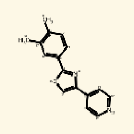 Cc1ccc(-c2nc(-c3ccncc3)co2)cc1C